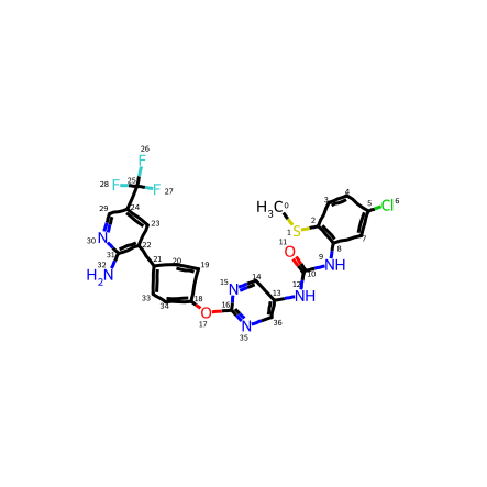 CSc1ccc(Cl)cc1NC(=O)Nc1cnc(Oc2ccc(-c3cc(C(F)(F)F)cnc3N)cc2)nc1